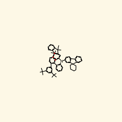 CC(C)(C)c1cc(-c2ccc(C(C)(C)C)cc2-c2ccccc2N(c2ccc3c(c2)C(C)(C)c2ccccc2-3)c2ccc3c(c2)C2(CCCCC2)c2ccccc2-3)cc(C(C)(C)C)c1